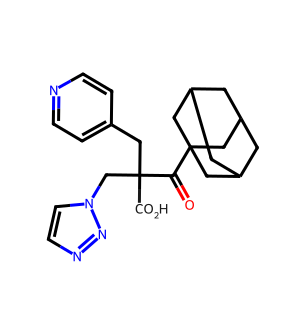 O=C(O)C(Cc1ccncc1)(Cn1ccnn1)C(=O)C12CC3CC(CC(C3)C1)C2